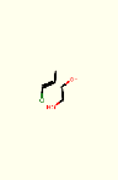 C/C=C/Cl.OCCO